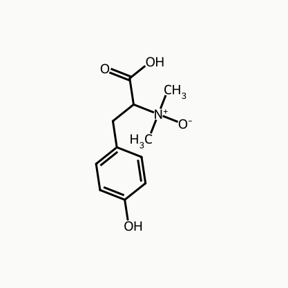 C[N+](C)([O-])C(Cc1ccc(O)cc1)C(=O)O